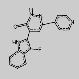 O=c1[nH]nc(-c2ccncc2)cc1-c1[nH]c2ccccc2c1F